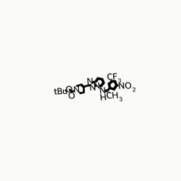 C[C@@H](Nc1cccc2nc(C3=CCN(C(=O)OC(C)(C)C)CC3)nn12)c1cc([N+](=O)[O-])cc(C(F)(F)F)c1